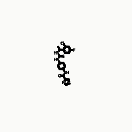 CC(NC(=S)Nc1ccc(NC(=O)c2cscn2)cc1)c1ccc(F)cc1Cl